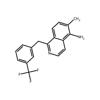 Cc1ccc2c(Cc3cccc(C(F)(F)F)c3)nccc2c1N